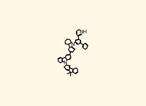 CC1(C)C2=CCC(N3C4=C(C=CCC4)C4C=C(C5=CC=C6C(C5)C5CCCCC5N6c5cc(C6=CCCC=C6)cc(C6=CNCC=C6)c5)C=CC43)C=C2C2=C1C=CCC2